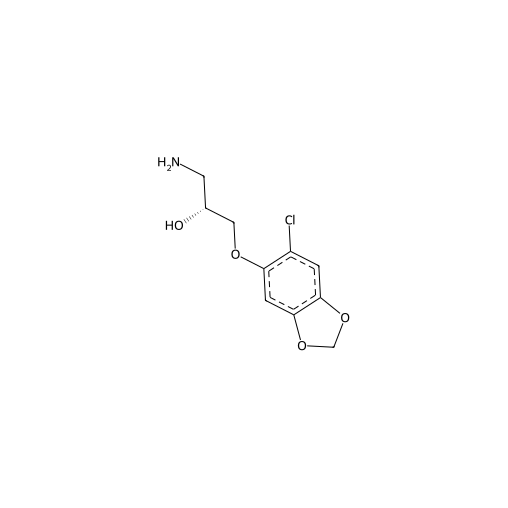 NC[C@@H](O)COc1cc2c(cc1Cl)OCO2